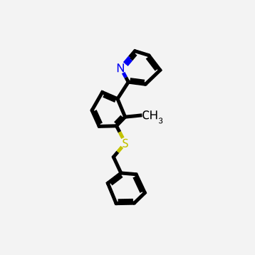 Cc1c(SCc2ccccc2)cccc1-c1ccccn1